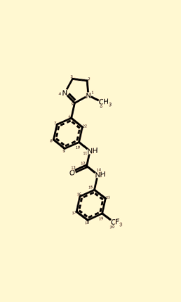 CN1CCN=C1c1cccc(NC(=O)Nc2cccc(C(F)(F)F)c2)c1